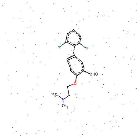 CN(C)CCOc1ccc(-c2c(F)cccc2F)cc1C=O